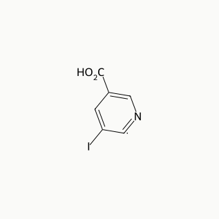 O=C(O)c1cn[c]c(I)c1